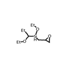 CCOC(CC)[SiH](CC1CO1)OCC